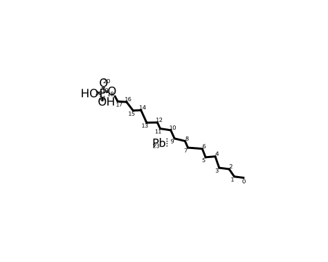 CCCCCCCCCCCCCCCCCCOP(=O)(O)O.[Pb]